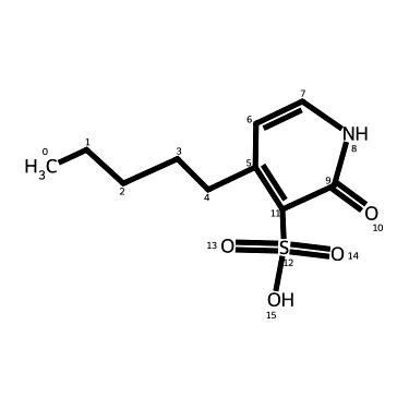 CCCCCc1cc[nH]c(=O)c1S(=O)(=O)O